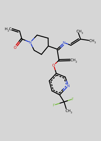 C=CC(=O)N1CCC(/C(=N/C=C(C)C)C(=C)Oc2ccc(C(C)(F)F)nc2)CC1